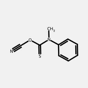 CN(C(=S)OC#N)c1ccccc1